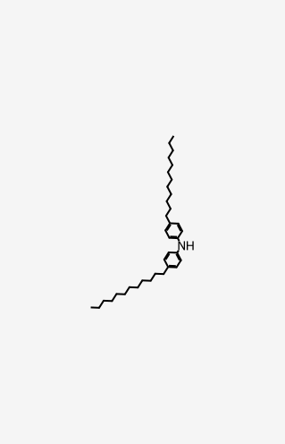 CCCCCCCCCCCCc1ccc(Nc2ccc(CCCCCCCCCCCC)cc2)cc1